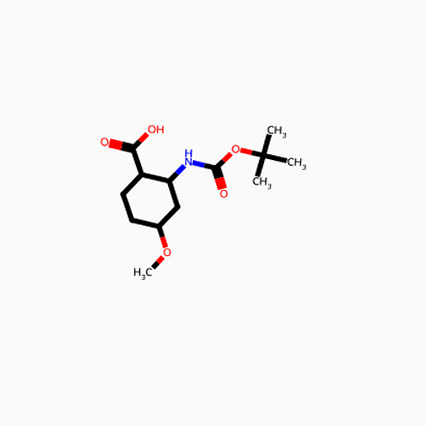 COC1CCC(C(=O)O)C(NC(=O)OC(C)(C)C)C1